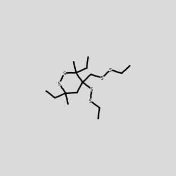 CCSSCC1(SSCC)CC(C)(CC)SSC1(C)CC